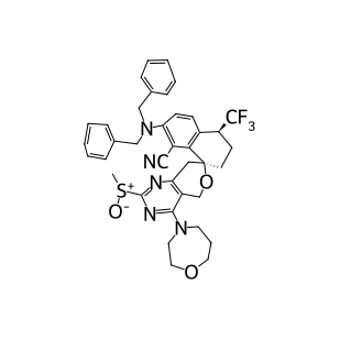 C[S+]([O-])c1nc2c(c(N3CCCOCC3)n1)CO[C@@]1(CC[C@H](C(F)(F)F)c3ccc(N(Cc4ccccc4)Cc4ccccc4)c(C#N)c31)C2